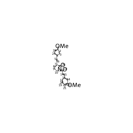 COc1ccc(C#CC2=CCCN(C(=O)/C=C/c3cc(C)c(C)c(OC)c3)C2=O)cc1